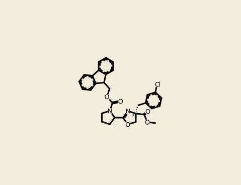 COC(=O)[C@@]1(Cc2cccc(Cl)c2)COC(C2CCCN2C(=O)OCC2c3ccccc3-c3ccccc32)=N1